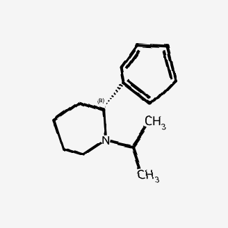 CC(C)N1CCCC[C@@H]1c1ccccc1